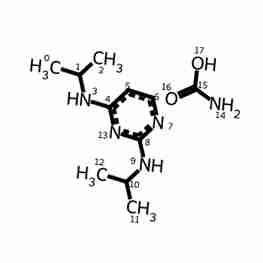 CC(C)Nc1ccnc(NC(C)C)n1.NC(=O)O